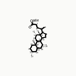 COC(=O)CCC(C)C1CCC2C3C(C[C@H](C)[C@]12C)[C@@]1(C)CC[C@@H](C)CC1C[C@H]3C